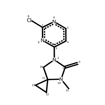 C=C1N(c2ccnc(Cl)n2)CC2(CC2)N1C